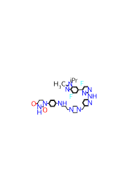 Cc1nc2c(F)cc(-c3nc(Nc4ccc(CN5CCN(CCCNc6ccc(N7CCC(=O)NC7=O)cc6)CC5)cn4)ncc3F)cc2n1C(C)C